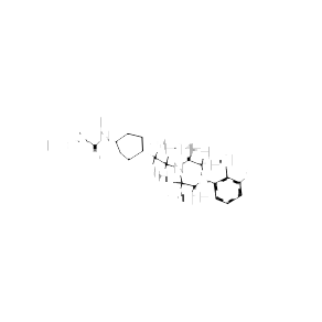 [2H]C1([2H])N(c2cccc(C)c2Cl)C([2H])([2H])C([2H])([2H])N(C([2H])([2H])C([2H])([2H])[C@H]2CC[C@H](NC(=O)NC)CC2)C1([2H])[2H]